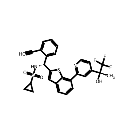 C#Cc1ccccc1[C@@H](NS(=O)(=O)C1CC1)c1cc2cccc(-c3cc([C@@](C)(O)C(F)(F)F)ccn3)c2s1